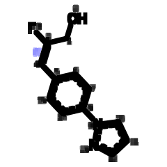 OC/C(F)=C\c1ccc(-n2cccn2)cc1